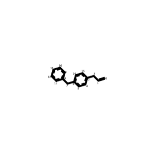 C=CCc1ccc(Cc2ccccc2)cc1